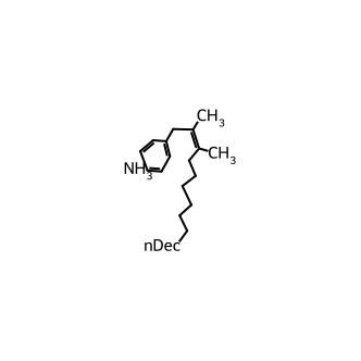 CCCCCCCCCCCCCCCCC(C)=C(C)Cc1ccccc1.N